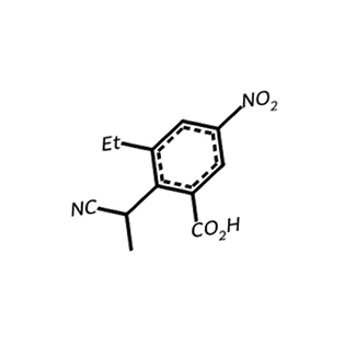 CCc1cc([N+](=O)[O-])cc(C(=O)O)c1C(C)C#N